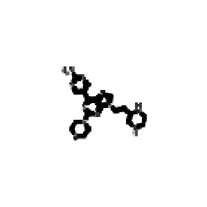 Nc1ncc(-c2nc(N3CCOCC3)nc3c2ncn3CCC2CNCCN2)cn1